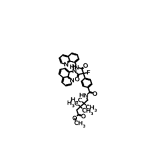 COC(=O)CC(C)(C)C(C)(C)CNC(=O)c1ccc(C(F)(C(=O)Nc2cccc3cccnc23)C(=O)Nc2cccc3cccnc23)cc1